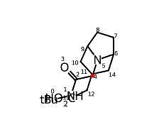 CC(C)(C)NC(=O)CN1C2CCC1CC(CC(=O)O)C2